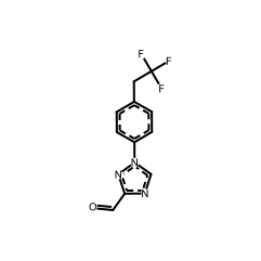 O=Cc1ncn(-c2ccc(CC(F)(F)F)cc2)n1